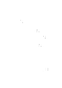 CN(C)Cc1cn(CCO)nn1